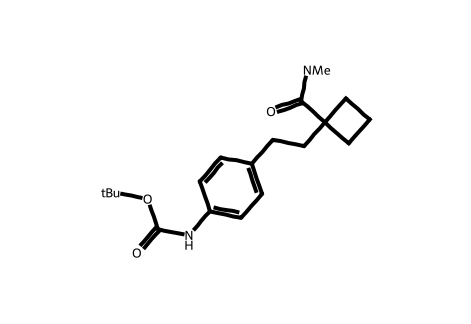 CNC(=O)C1(CCc2ccc(NC(=O)OC(C)(C)C)cc2)CCC1